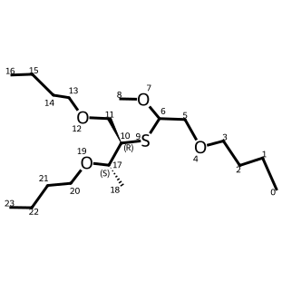 CCCCOCC(OC)S[C@H](COCCCC)[C@H](C)OCCCC